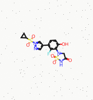 O=C1CN(c2c(O)ccc(-c3cnn(S(=O)(=O)C4CC4)c3)c2F)S(=O)(=O)N1